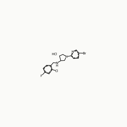 Cl.Fc1ccc(CNC2CCN(c3ccc(Br)cn3)C2)c(Cl)c1